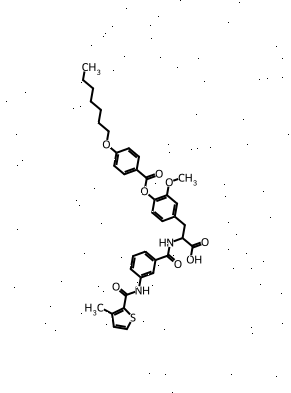 CCCCCCCOc1ccc(C(=O)Oc2ccc(CC(NC(=O)c3cccc(NC(=O)c4sccc4C)c3)C(=O)O)cc2OC)cc1